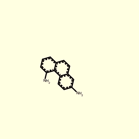 Nc1ccc2c(ccc3cccc(N)c32)c1